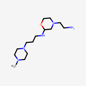 CN1CCN(CCCNC2CN(CCN)CCO2)CC1